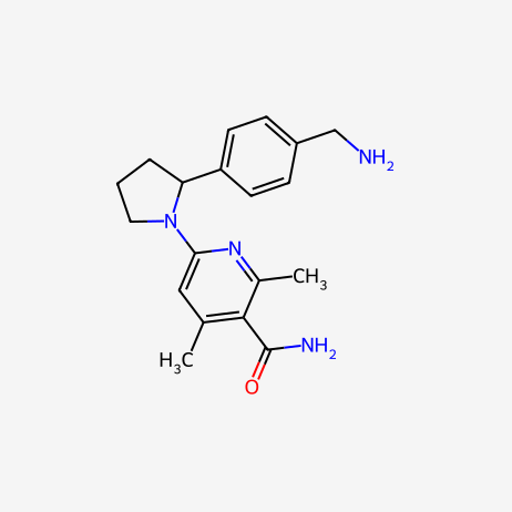 Cc1cc(N2CCCC2c2ccc(CN)cc2)nc(C)c1C(N)=O